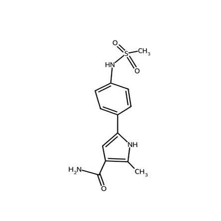 Cc1[nH]c(-c2ccc(NS(C)(=O)=O)cc2)cc1C(N)=O